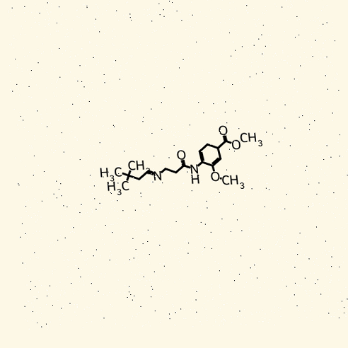 COC(=O)C1C=C(OC)C(NC(=O)CC/N=C/CC(C)(C)C)=CC1